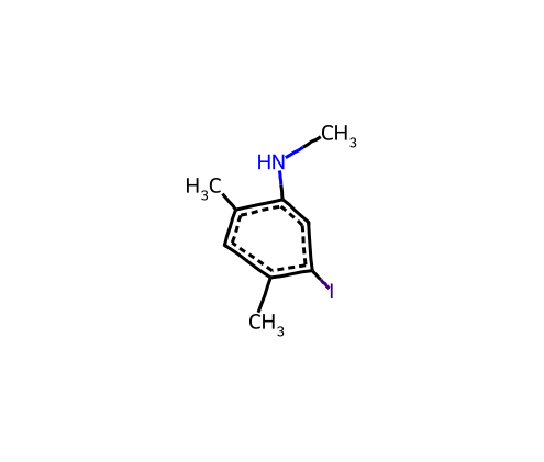 CNc1cc(I)c(C)cc1C